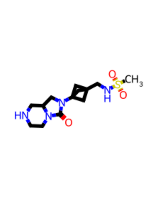 CS(=O)(=O)NCC12CC(N3CC4CNCCN4C3=O)(C1)C2